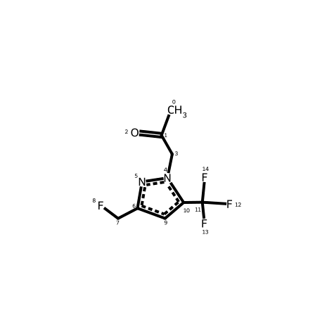 CC(=O)Cn1nc(CF)cc1C(F)(F)F